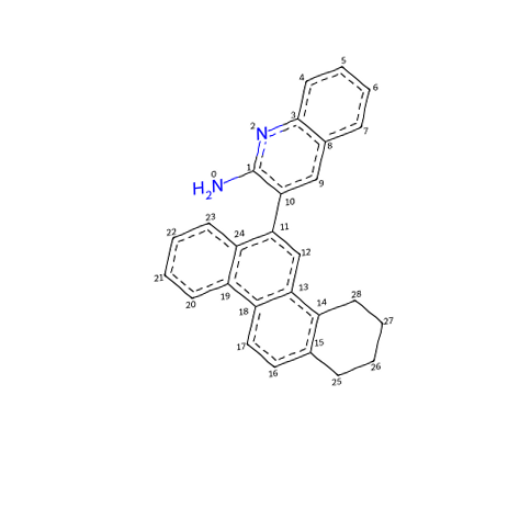 Nc1nc2ccccc2cc1-c1cc2c3c(ccc2c2ccccc12)CCCC3